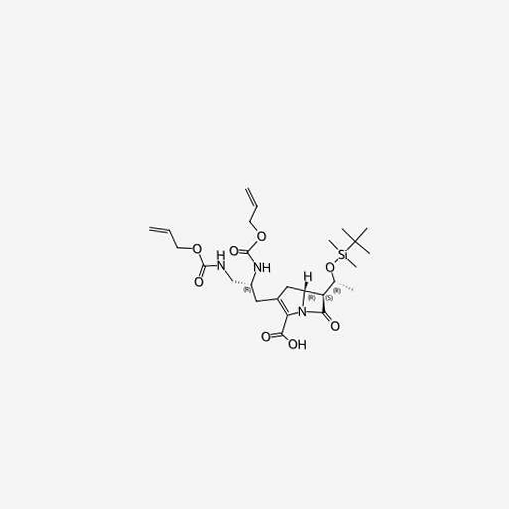 C=CCOC(=O)NC[C@@H](CC1=C(C(=O)O)N2C(=O)[C@H]([C@@H](C)O[Si](C)(C)C(C)(C)C)[C@H]2C1)NC(=O)OCC=C